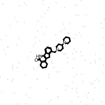 O=c1[nH]c2c(c3c1CCCC3)Cc1c(CN3CCC(N4CCCCC4)CC3)cccc1-2